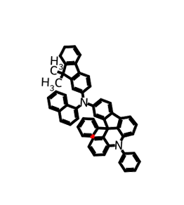 CC1(C)C2=C(C=CCC2)c2ccc(N(c3ccc4c(c3)C3(c5ccccc5)c5ccccc5N(c5ccccc5)c5cccc-4c53)c3cccc4ccccc34)cc21